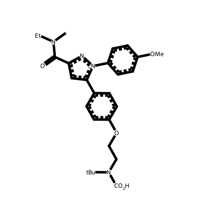 CCN(C)C(=O)c1cc(-c2ccc(OCCN(C(=O)O)C(C)(C)C)cc2)n(-c2ccc(OC)cc2)n1